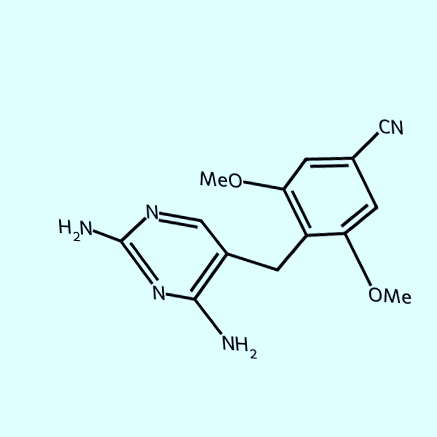 COc1cc(C#N)cc(OC)c1Cc1cnc(N)nc1N